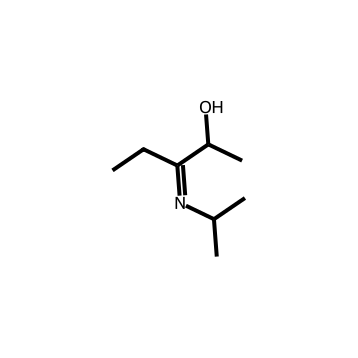 CCC(=NC(C)C)C(C)O